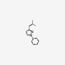 CC(C)=Cc1ccn(-c2ccccc2)n1